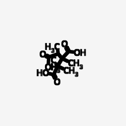 CC(C(=O)O)C(C)(C(=O)O)C(C)(C)C(=O)O